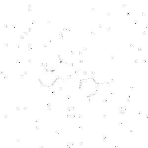 CC1(c2cccc(Br)c2)NC(=O)c2ccccc2O1